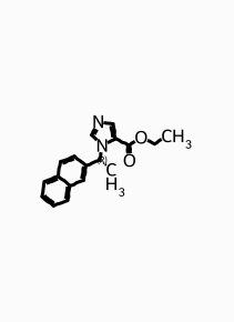 CCOC(=O)c1cncn1[C@H](C)c1ccc2ccccc2c1